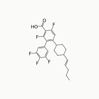 CCCC=CC1CCC(c2cc(F)c(C(=O)O)c(F)c2-c2cc(F)c(F)c(F)c2)CC1